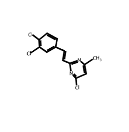 Cc1cc(Cl)nc(C=Cc2ccc(Cl)c(Cl)c2)n1